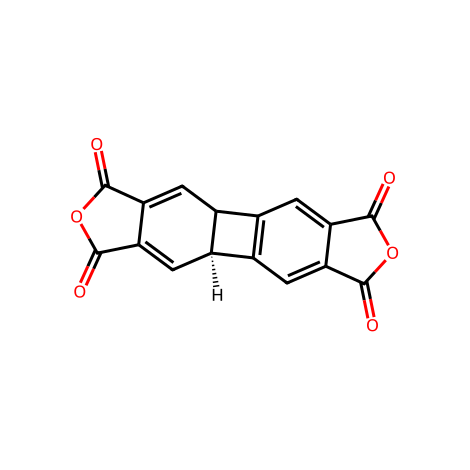 O=C1OC(=O)C2=C[C@@H]3c4cc5c(cc4C3C=C12)C(=O)OC5=O